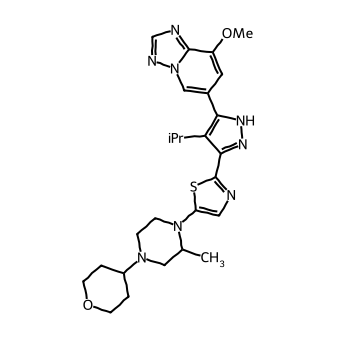 COc1cc(-c2[nH]nc(-c3ncc(N4CCN(C5CCOCC5)CC4C)s3)c2C(C)C)cn2ncnc12